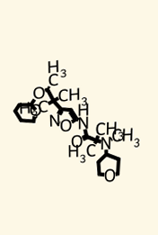 C[C@H](OC1CCCCO1)C(C)(C)c1cc(NC(=O)C(C)(C)N(C)C2CCOCC2)on1